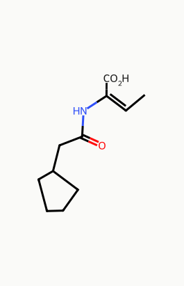 CC=C(NC(=O)CC1CCCC1)C(=O)O